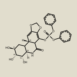 O=C1N[C@@H]2C(C[C@H](O)[C@@H](O)[C@H]2O)[C@@H]2C=C3OCOC3=C(OP(=O)(Oc3ccccc3)Oc3ccccc3)C12